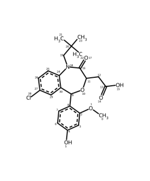 COc1cc(O)ccc1C1OC(CC(=O)O)C(=O)N(CC(C)(C)C)c2ccc(Cl)cc21